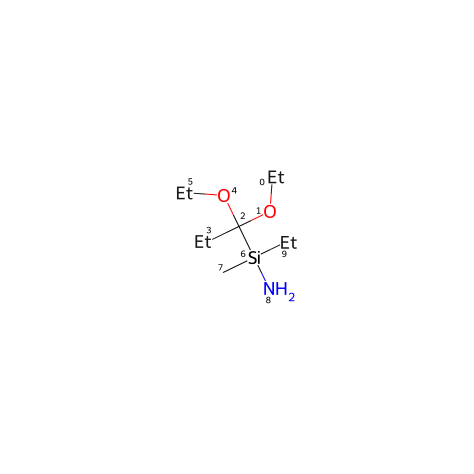 CCOC(CC)(OCC)[Si](C)(N)CC